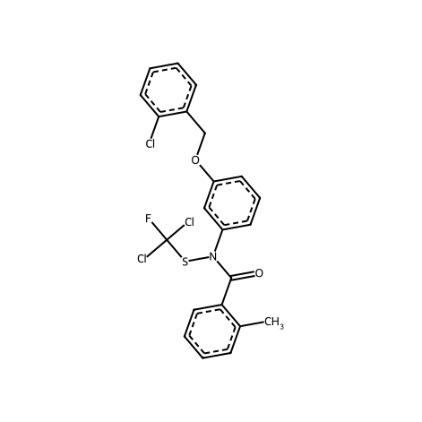 Cc1ccccc1C(=O)N(SC(F)(Cl)Cl)c1cccc(OCc2ccccc2Cl)c1